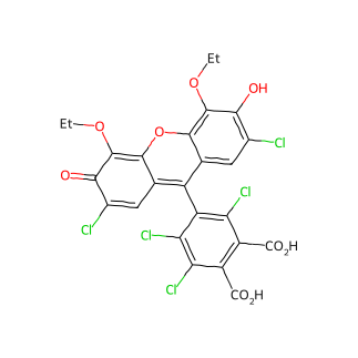 CCOc1c2oc3c(OCC)c(O)c(Cl)cc3c(-c3c(Cl)c(Cl)c(C(=O)O)c(C(=O)O)c3Cl)c-2cc(Cl)c1=O